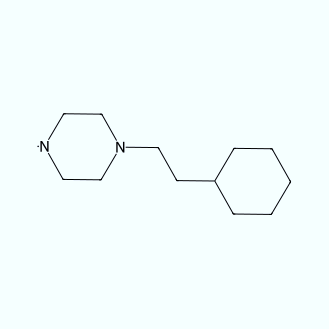 C1CCC(CCN2CC[N]CC2)CC1